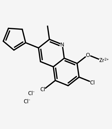 Cc1nc2c([O][Zr+2])c(Cl)cc(Cl)c2cc1C1=CC=CC1.[Cl-].[Cl-]